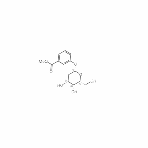 COC(=O)c1cccc(O[C@H]2C[C@@H](O)[C@@H](O)[C@@H](CO)O2)c1